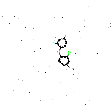 N#Cc1ccc(Oc2ccc(F)cc2F)c(Cl)c1